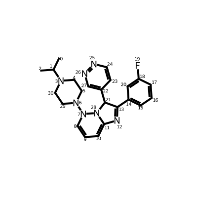 CC(C)N1CCN(N2C=CC=C3N=C(c4cccc(F)c4)C(c4ccnnc4)N32)CC1